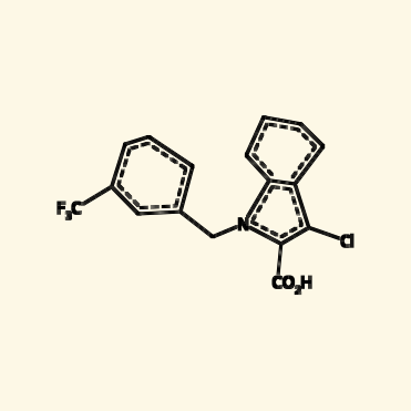 O=C(O)c1c(Cl)c2ccccc2n1Cc1cccc(C(F)(F)F)c1